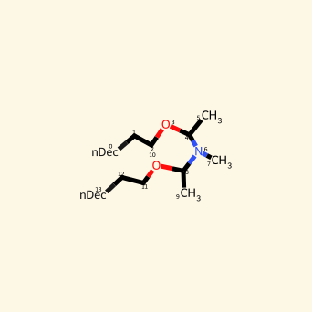 CCCCCCCCCCCCOC(C)N(C)C(C)OCCCCCCCCCCCC